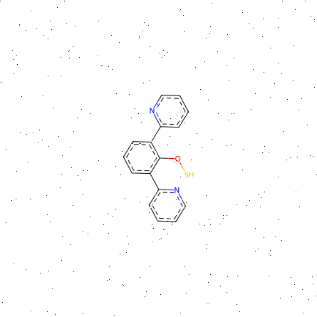 SOc1c(-c2ccccn2)cccc1-c1ccccn1